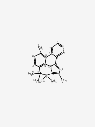 Cc1nc2c3ccccc3c3c(C)ccc4c3n2c1[Si](C)(C)C4(C)C